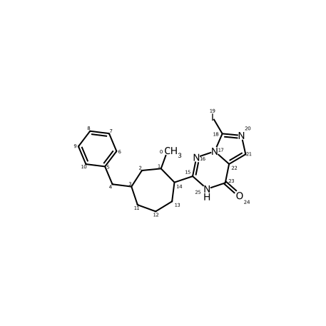 CC1CC(Cc2ccccc2)CCCC1c1nn2c(I)ncc2c(=O)[nH]1